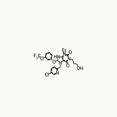 CCn1c2c(c(=O)n(CCCO)c1=O)N(Cc1ccc(Cl)cn1)C(Oc1cccc(OC(F)(F)F)c1)N2